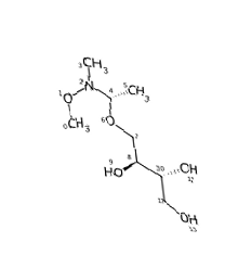 CON(C)[C@H](C)OC[C@H](O)[C@H](O)CO